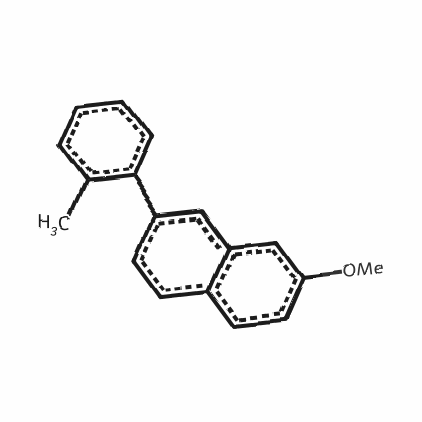 COc1ccc2ccc(-c3ccccc3C)cc2c1